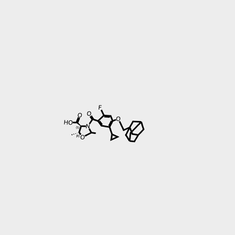 CC1O[C@H](C)[C@@H](C(=O)O)N1C(=O)c1cc(C2CC2)c(OCC23CC4CC(CC(C4)C2)C3)cc1F